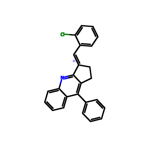 Clc1ccccc1/C=C1\CCc2c1nc1ccccc1c2-c1ccccc1